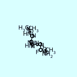 CN(C)CC(=O)Nc1cncc(-c2cnc3[nH]nc(-c4cc5c(-c6cc(F)cc(C(N)S(C)(=O)=O)c6)nccc5[nH]4)c3c2)c1